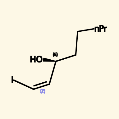 CCCCC[C@H](O)/C=C\I